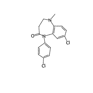 CN1CCC(=O)N(c2ccc(Cl)cc2)c2cc(Cl)ccc21